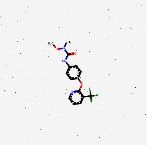 CON(C)C(=O)Nc1ccc(Oc2ncccc2C(F)(F)F)cc1